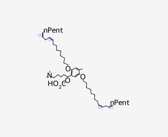 CCCCC/C=C\C/C=C\CCCCCCCCOc1cc(C(CCCCN(C)C)OC(=O)O)c(OCCCCCCCC/C=C\C/C=C\CCCCC)cc1C